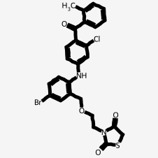 Cc1ccccc1C(=O)c1ccc(Nc2ccc(Br)cc2COCCN2C(=O)CSC2=O)cc1Cl